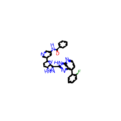 O=C(Nc1cncc(-c2ccc3[nH]nc(-c4nc5c(-c6ccccc6F)ccnc5[nH]4)c3n2)c1)c1ccccc1